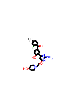 Cc1ccc(C(=O)c2ccc(O)c(-c3cc(OCCN4CCC(O)CC4)nc(N)n3)c2)c(F)c1